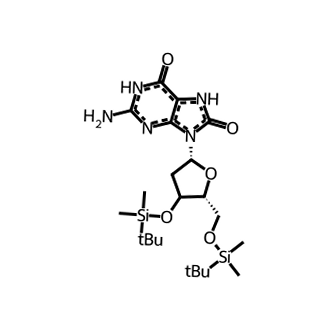 CC(C)(C)[Si](C)(C)OC[C@H]1O[C@@H](n2c(=O)[nH]c3c(=O)[nH]c(N)nc32)CC1O[Si](C)(C)C(C)(C)C